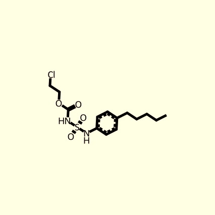 CCCCCc1ccc(NS(=O)(=O)NC(=O)OCCCl)cc1